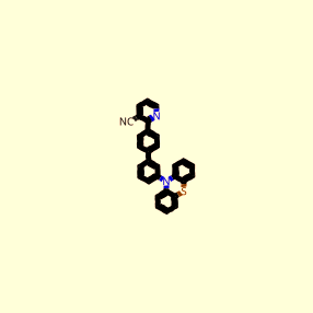 N#Cc1cccnc1-c1ccc(-c2cccc(N3c4ccccc4Sc4ccccc43)c2)cc1